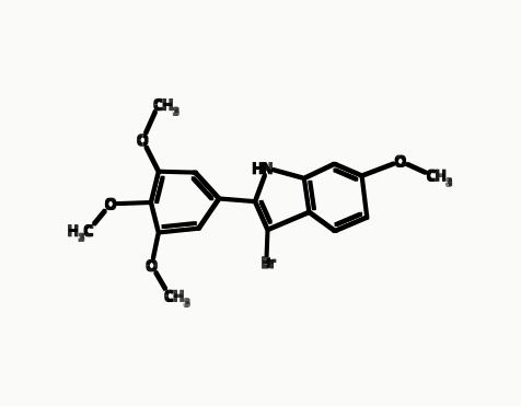 COc1ccc2c(Br)c(-c3cc(OC)c(OC)c(OC)c3)[nH]c2c1